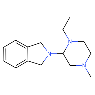 CCN1CCN(C)CC1N1Cc2ccccc2C1